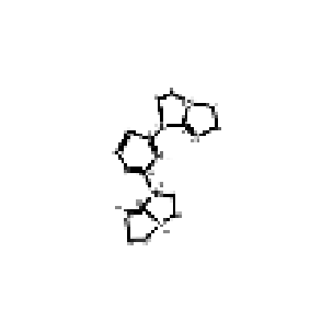 c1cc(N2CCN3CCN=C32)nc(N2CCN3CCN=C32)c1